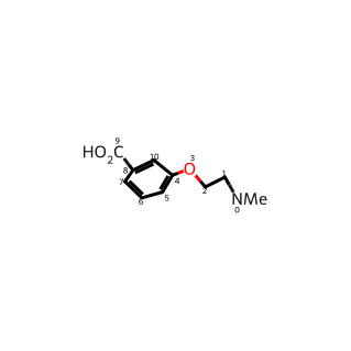 CNCCOc1cccc(C(=O)O)c1